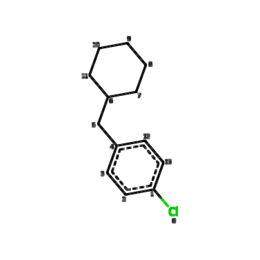 Clc1ccc(CC2CCCCC2)cc1